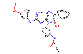 C=CC(=O)Nc1cccc(-n2c(=O)c(-c3ccccc3)nc3cnc(Nc4ccc(OC)cc4)nc32)c1